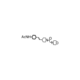 CC(=O)Nc1ccc(C=CC2CCN(C(=O)CN3CCOCC3)CC2)cc1